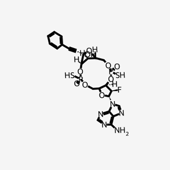 Nc1ncnc2c1ncn2[C@@H]1OC2COP(=O)(S)O[C@@H]3[C@H](O)[C@@H](COP(=O)(S)O[C@H]2[C@H]1F)O[C@H]3C#Cc1ccccc1